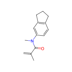 C=C(C)C(=O)N(C)c1ccc2c(c1)CCC2